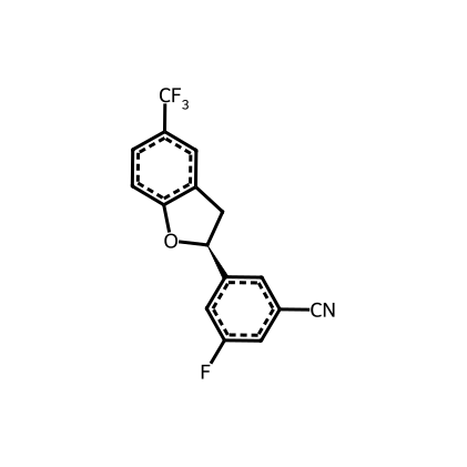 N#Cc1cc(F)cc([C@@H]2Cc3cc(C(F)(F)F)ccc3O2)c1